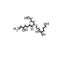 CC(C)C(CCCO)NSSC[C@@H](CCCO)NCCC[C@H](O)CN